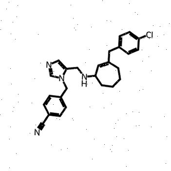 N#Cc1ccc(Cn2cncc2CNC2C=C(Cc3ccc(Cl)cc3)CCCC2)cc1